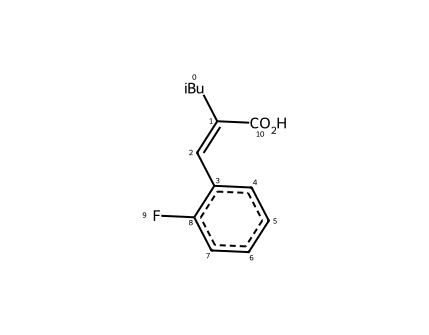 CCC(C)C(=Cc1ccccc1F)C(=O)O